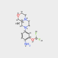 Nc1ccc(N2CCN3CCOC[C@@H]3C2)cc1OC(F)F